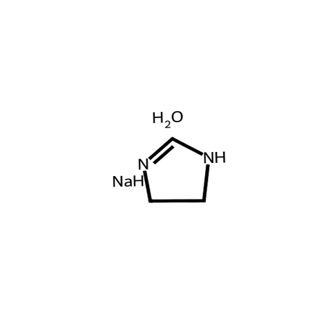 C1=NCCN1.O.[NaH]